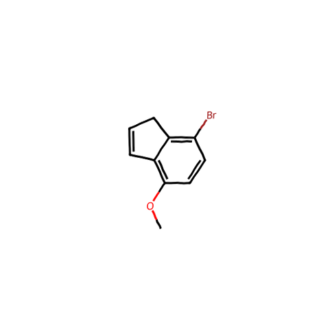 COc1ccc(Br)c2c1C=CC2